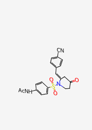 CC(=O)Nc1ccc(S(=O)(=O)N2CCC(=O)CC2=Cc2ccc(C#N)cc2)cc1